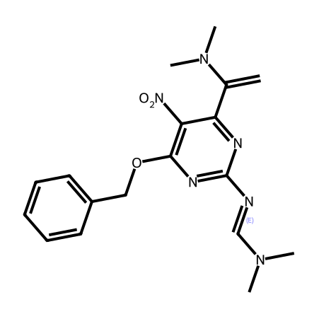 C=C(c1nc(/N=C/N(C)C)nc(OCc2ccccc2)c1[N+](=O)[O-])N(C)C